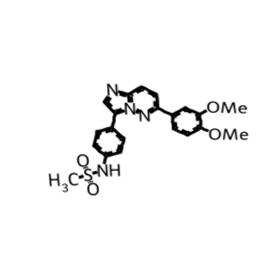 COc1ccc(-c2ccc3ncc(-c4ccc(NS(C)(=O)=O)cc4)n3n2)cc1OC